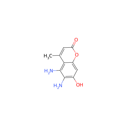 Cc1cc(=O)oc2cc(O)c(N)c(N)c12